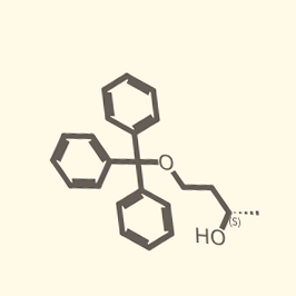 C[C@H](O)CCOC(c1ccccc1)(c1ccccc1)c1ccccc1